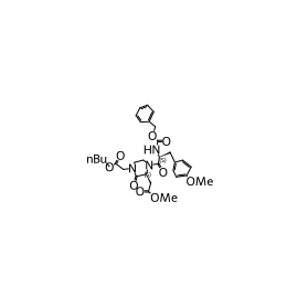 CCCCOC(=O)CN1CCN(C(=O)[C@H](Cc2ccc(OC)cc2)NC(=O)OCc2ccccc2)[C@@H](CC(=O)OC)C1=O